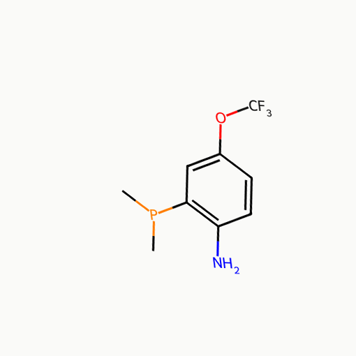 CP(C)c1cc(OC(F)(F)F)ccc1N